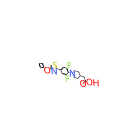 O=C(O)CC1CCN(c2c(F)cc(-c3nc(OC4=CC=C4)cs3)cc2F)CC1